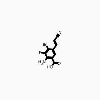 N#C/C=C/c1cc(C(=O)O)c(N)c(F)c1Br